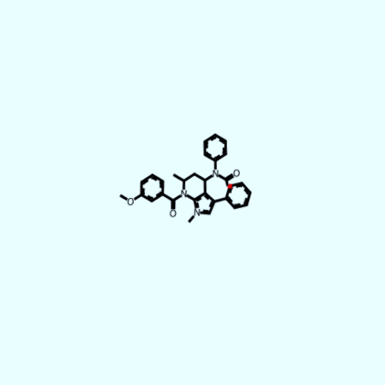 COc1cccc(C(=O)N2c3c(c(-c4ccccc4)cn3C)C(N(C(C)=O)c3ccccc3)CC2C)c1